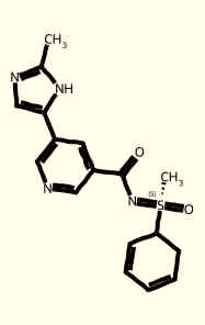 Cc1ncc(-c2cncc(C(=O)N=[S@@](C)(=O)C3C=CC=CC3)c2)[nH]1